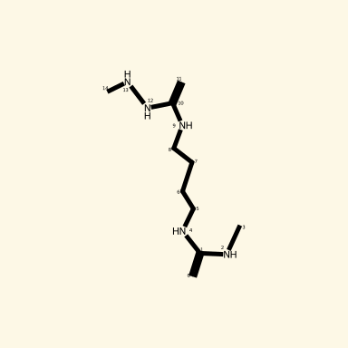 C=C(NC)NCCCCNC(=C)NNC